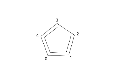 C1=C=CC=C=1